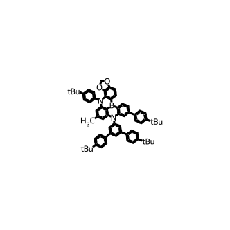 Cc1cc2c3c(c1)N(c1ccc(C(C)(C)C)cc1)c1c(ccc4c1OCO4)B3c1ccc(-c3ccc(C(C)(C)C)cc3)cc1N2c1cc(-c2ccc(C(C)(C)C)cc2)cc(-c2ccc(C(C)(C)C)cc2)c1